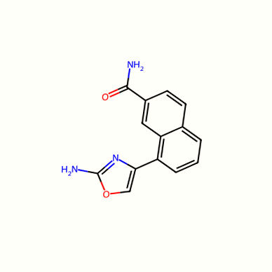 NC(=O)c1ccc2cccc(-c3coc(N)n3)c2c1